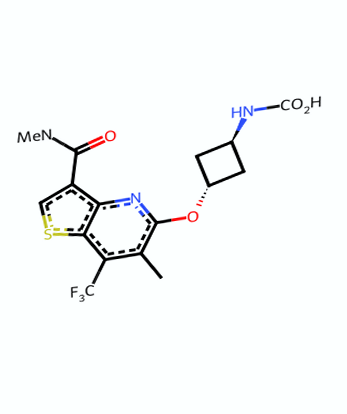 CNC(=O)c1csc2c(C(F)(F)F)c(C)c(O[C@H]3C[C@H](NC(=O)O)C3)nc12